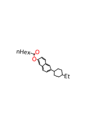 CCCCCCC(=O)Oc1ccc2cc(C3CCC(CC)CC3)ccc2c1